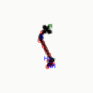 O=C1CCC(N2C(=O)c3cccc(NCCOCCOCCOCCOCCOCCC(=O)N4CCN(CCOc5ccc(/C(=C(/CCCl)c6ccccc6)c6ccccc6)cc5)CC4)c3C2=O)C(=O)N1